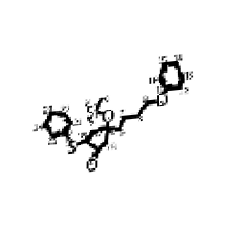 C[Si](C)(C)OC1(CCCCOc2ccccc2)C=C(Sc2ccccc2)C(=O)C1